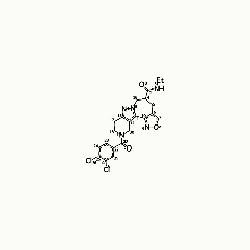 CCNC(=O)C1Cc2conc2-c2c3c(nn2C1)CCN(C(=O)c1ccc(Cl)c(Cl)c1)C3